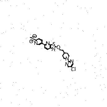 CS(=O)(=O)c1ccc(-c2ccc3nc(OCCC4CCN(c5ncc(Cl)cn5)CC4)sc3n2)cn1